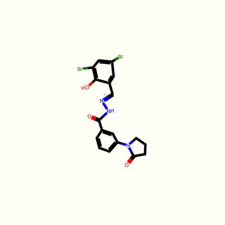 O=C(N/N=C/c1cc(Br)cc(Br)c1O)c1cccc(N2CCCC2=O)c1